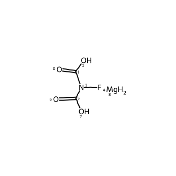 O=C(O)N(F)C(=O)O.[MgH2]